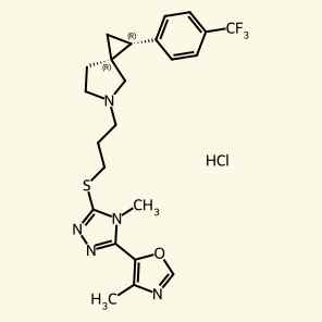 Cc1ncoc1-c1nnc(SCCCN2CC[C@@]3(C[C@@H]3c3ccc(C(F)(F)F)cc3)C2)n1C.Cl